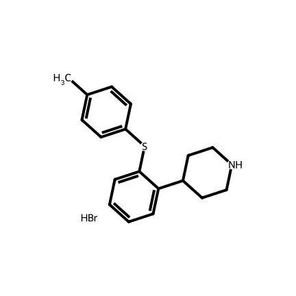 Br.Cc1ccc(Sc2ccccc2C2CCNCC2)cc1